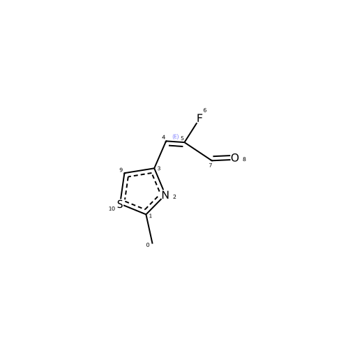 Cc1nc(/C=C(/F)C=O)cs1